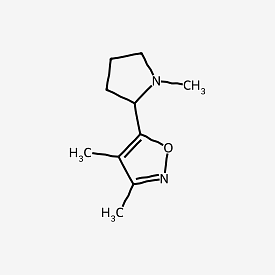 Cc1noc(C2CCCN2C)c1C